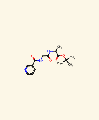 CC(NC(=O)CNC(=O)c1cccnc1)C(=O)OC(C)(C)C